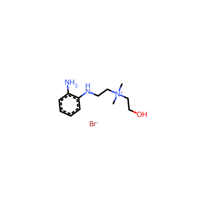 C[N+](C)(CCO)CCNc1ccccc1N.[Br-]